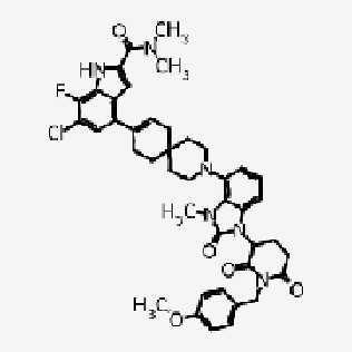 COc1ccc(CN2C(=O)CCC(n3c(=O)n(C)c4c(N5CCC6(CC=C(c7cc(Cl)c(F)c8[nH]c(C(=O)N(C)C)cc78)CC6)CC5)cccc43)C2=O)cc1